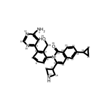 Nc1cc(-c2cccc(-n3c(C4CNC4)cc4cc(C5CC5)ccc4c3=O)c2CO)ncn1